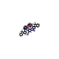 CC1(C)c2ccccc2-c2ccc3c(c21)c1ccccc1n3-c1c(C#N)cc(C#N)c(-n2c3ccccc3c3c4c(ccc32)-c2ccccc2C4(C)C)c1-n1c2ccccc2c2ccccc21